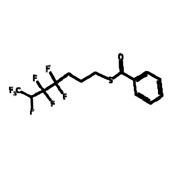 O=C(SCCCC(F)(F)C(F)(F)C(F)C(F)(F)F)c1ccccc1